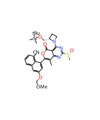 COCOc1cc(-c2oc(=O)c3c(N4CC[C@H]4CO[Si](C)(C)C(C)(C)C)nc([S+](C)[O-])nc3c2C)c2c(C#N)cccc2c1